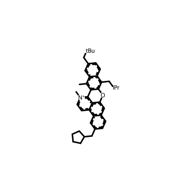 Cc1c2c(c(CC(C)C)c3ccc(CC(C)(C)C)cc13)Oc1cc3ccc(CC4CCCC4)cc3c3cc[n+](C)c-2c13